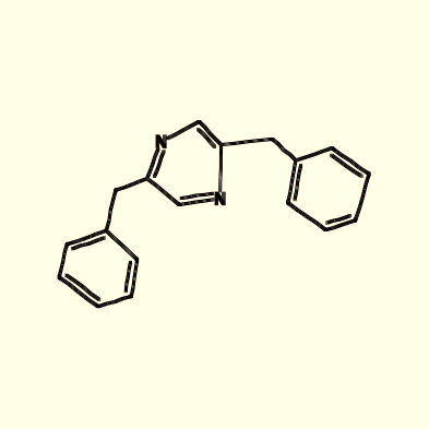 c1ccc(Cc2cnc(Cc3ccccc3)cn2)cc1